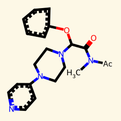 CC(=O)N(C)C(=O)C(Oc1ccccc1)N1CCN(c2ccncc2)CC1